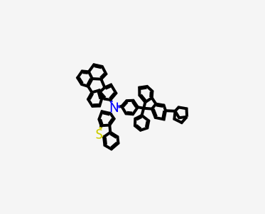 c1ccc(-c2cccc3cccc(-c4ccc(N(c5ccc(C6(c7ccccc7)c7ccccc7-c7cc(C89CCC(CC8)C9)ccc76)cc5)c5ccc6sc7ccccc7c6c5)cc4)c23)cc1